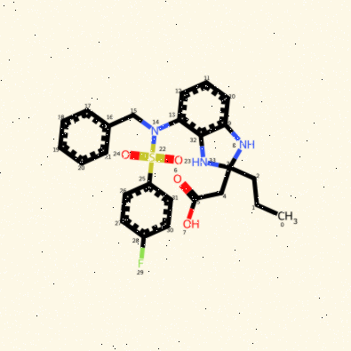 CCCC1(CC(=O)O)Nc2cccc(N(Cc3ccccc3)S(=O)(=O)c3ccc(F)cc3)c2N1